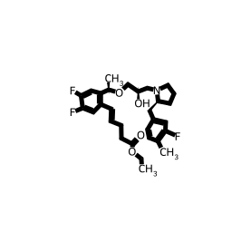 CCOC(=O)CC/C=C/c1cc(F)c(F)cc1[C@@H](C)OC[C@H](O)CN1CCC[C@H]1Cc1ccc(C)c(F)c1